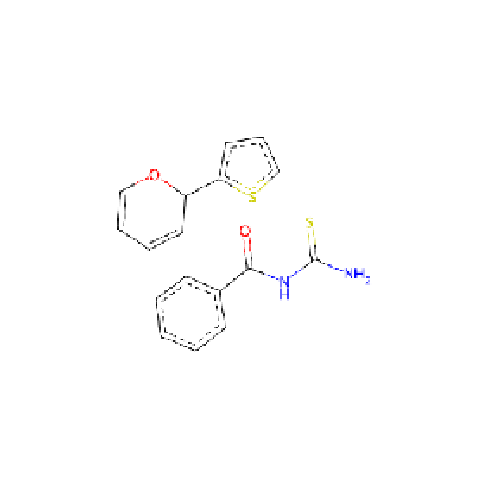 C1=COC(c2cccs2)C=C1.NC(=S)NC(=O)c1ccccc1